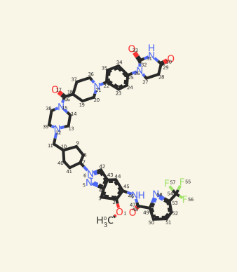 COc1cc2nn(C3CCC(CN4CCN(C(=O)C5CCN(c6ccc(N7CCC(=O)NC7=O)cc6)CC5)CC4)CC3)cc2cc1NC(=O)c1cccc(C(F)(F)F)n1